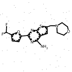 Nc1nc(-c2ccc(C(F)F)o2)nc2sc(CN3CCOCC3)cc12